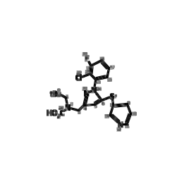 CC(C)(C)CN(Cc1cc(Sc2cccnc2)n(-c2cccc(F)c2Cl)n1)C(=O)O